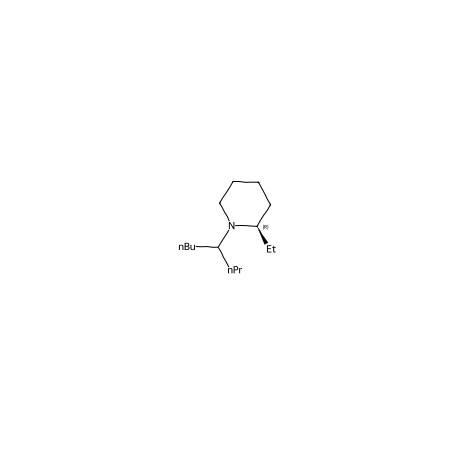 CCCCC(CCC)N1CCCC[C@H]1CC